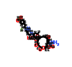 CC[C@H]1OC(=O)[C@H](C)C(=O)[C@H](C)[C@@H](O[C@@H]2O[C@H](C)C[C@H](N(C)CCc3cn([C@H](CF)Cc4ccc(S(C)(=O)=O)cc4)nn3)[C@H]2O)[C@](C)(OC)CC[C@@H](C)C(=O)[C@H](C)[C@@H]2C[C@]1(C)OC(=O)N2N